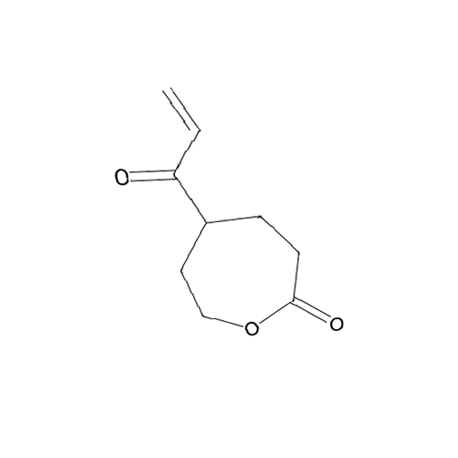 C=CC(=O)C1CCOC(=O)CC1